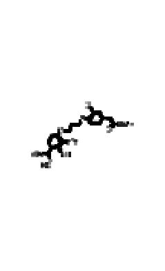 CCCCC(=NO)c1ccc(OCCCSc2ccc(CC(=O)OC)cc2Cl)c(CCC)c1O